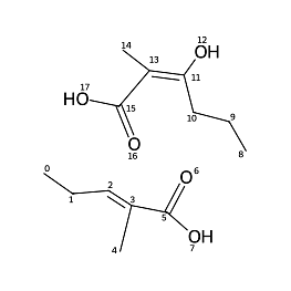 CC/C=C(\C)C(=O)O.CCC/C(O)=C(/C)C(=O)O